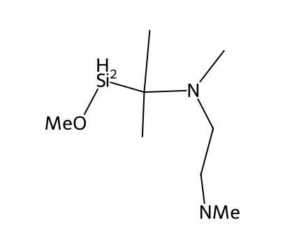 CNCCN(C)C(C)(C)[SiH2]OC